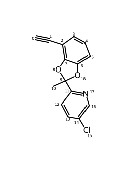 C#Cc1cccc2c1OC(C)(c1ccc(Cl)cn1)O2